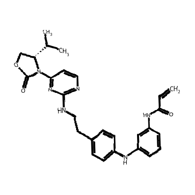 C=CC(=O)Nc1cccc(Nc2ccc(CCNc3nccc(N4C(=O)OC[C@@H]4C(C)C)n3)cc2)c1